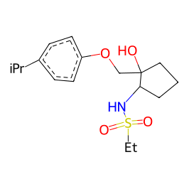 CCS(=O)(=O)NC1CCCC1(O)COc1ccc(C(C)C)cc1